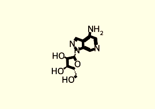 Nc1cncc2c1cnn2[C@@H]1O[C@H](CO)[C@@H](O)[C@H]1O